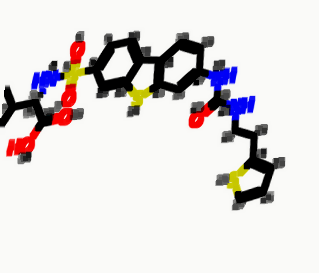 CC(C)[C@H](NS(=O)(=O)c1ccc2c(c1)sc1cc(NC(=O)NCCc3cccs3)ccc12)C(=O)O